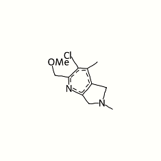 COCc1nc2c(c(C)c1Cl)CN(C)C2